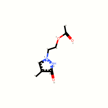 CC(=O)OCCn1cc(C)c(=O)[nH]1